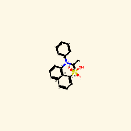 CC(C)N(c1ccccc1)c1cccc2cccc(S(=O)(=O)O)c12